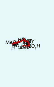 C=C1CCN(c2cc(C(=O)N3CCC4(CCN(CCc5ccc(-c6cc7c(-c8cc(F)cc(NC(=O)N9C[C@H](CC(C)C)[C@@H](OC(=O)CNC(=O)CC[C@@H](C(=O)O)N(CCCCCCCCCCC)C(=O)CCCCCCCCCC(=O)O)C9)c8C)ncnc7[nH]6)cc5)CC4)CC3)ccc2OC)C(=O)N1